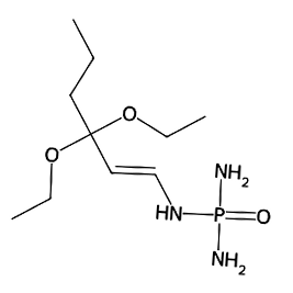 CCCC(C=CNP(N)(N)=O)(OCC)OCC